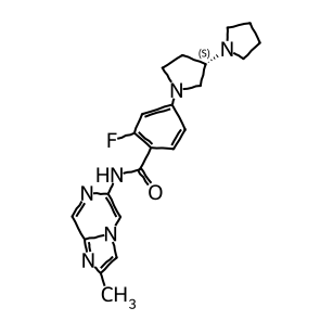 Cc1cn2cc(NC(=O)c3ccc(N4CC[C@H](N5CCCC5)C4)cc3F)ncc2n1